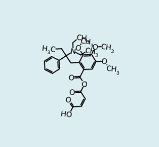 CCN(CC)C(CC)(Cc1c(C(=O)OC(=O)/C=C\C(=O)O)cc(OC)c(OC)c1OC)c1ccccc1